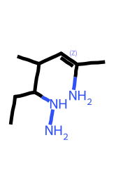 CCC(NN)C(C)/C=C(/C)N